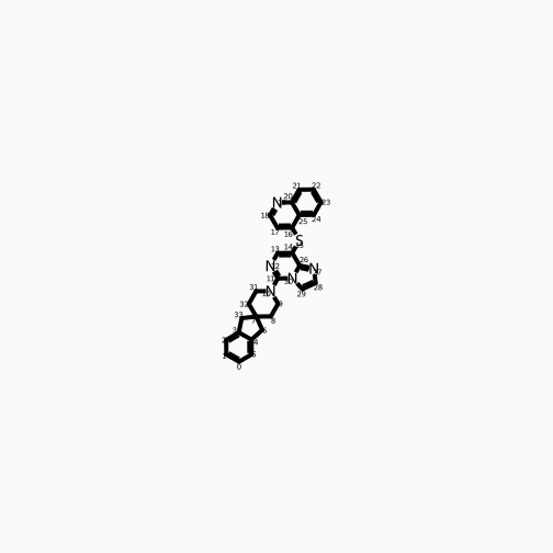 c1ccc2c(c1)CC1(CCN(c3ncc(Sc4ccnc5ccccc45)c4nccn34)CC1)C2